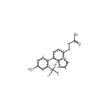 Cc1cnc(-c2ccc(CCC(=O)O)n3ccnc23)c(C(F)(F)F)c1